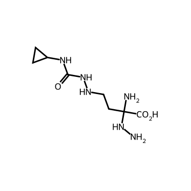 NNC(N)(CCNNC(=O)NC1CC1)C(=O)O